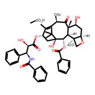 CC(=O)O[C@H]1C(=O)[C@@]2(C)[C@H]([C@H](OC(=O)c3ccccc3)[C@]3(O)C[C@H](OC(=O)[C@H](O)[C@@H](NC(=O)c4ccccc4)c4ccccc4)C(C)=C1C3(C)C)[C@]1(OC(C)=O)CO[C@@H]1C[C@@H]2O.CS(=O)(=O)O